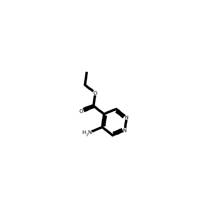 CCOC(=O)c1cnncc1N